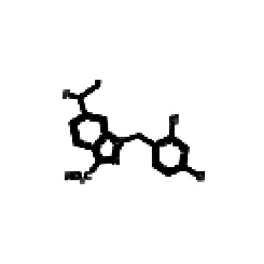 O=C(O)c1nn(Cc2ccc(Cl)cc2Cl)c2cc(C(F)F)ccc12